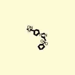 O=S(=O)(Cc1cn(-c2ccc(-c3ncon3)cc2)cn1)c1ccccc1